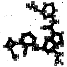 CNc1cc(Nc2cccn(C3CC[C@@H]3O)c2=O)nc2c(C(=O)N[C@@H]3CCC[C@@H](OC)C3)cnn12